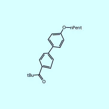 CCCCCOc1ccc(-c2ccc(C(=O)C(C)(C)C)cc2)cc1